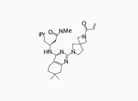 C=CC(=O)N1CC2(CCN(c3nc4c(c(N[C@H](CC(=O)NC)CC(C)C)n3)CCC(C)(C)C4)C2)C1